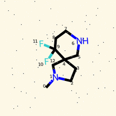 CN1CCC2(CNCCC2(F)F)C1